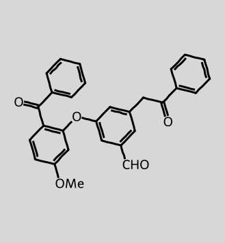 COc1ccc(C(=O)c2ccccc2)c(Oc2cc(C=O)cc(CC(=O)c3ccccc3)c2)c1